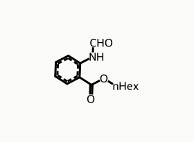 CCCCCCOC(=O)c1ccccc1NC=O